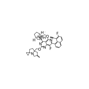 C#Cc1c(F)ccc2cccc(-c3nc4c5c(nc(OCC67CCC8(CC8)N6CC(=C)C7)nc5c3F)N3C[C@H]5CC[C@H](N5)[C@H]3[C@H](C)O4)c12